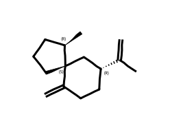 C=C(C)[C@@H]1CCC(=C)[C@@]2(CCC[C@H]2C)C1